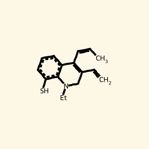 C=CC1=C(/C=C\C)c2cccc(S)c2N(CC)C1